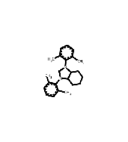 Cc1cccc(C)c1N1CN(c2c(C)cccc2C)C2CCCCC21